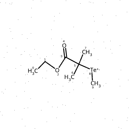 CCOC(=O)C(C)(C)[Te+]C